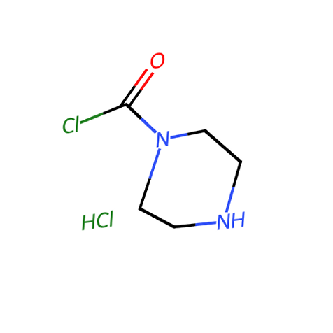 Cl.O=C(Cl)N1CCNCC1